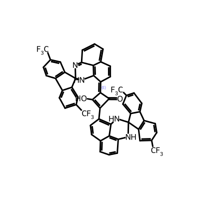 O=C1C(c2ccc3cccc4c3c2NC2(N4)c3cc(C(F)(F)F)ccc3-c3ccc(C(F)(F)F)cc32)=C(O)/C1=c1/ccc2cccc3c2c1NC1(N=3)c2cc(C(F)(F)F)ccc2-c2ccc(C(F)(F)F)cc21